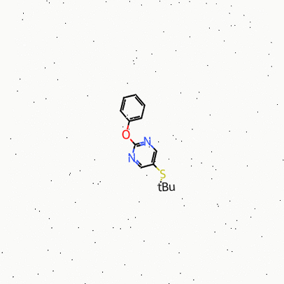 CC(C)(C)Sc1cnc(Oc2ccccc2)nc1